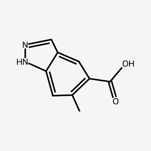 Cc1cc2[nH]ncc2cc1C(=O)O